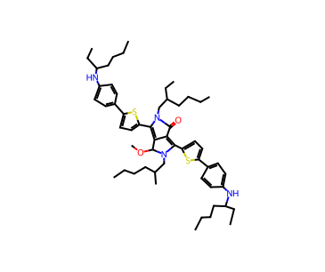 CCCCC(C)CN1C(c2ccc(-c3ccc(NC(CC)CCCC)cc3)s2)=C2C(=O)N(CC(CC)CCCC)C(c3ccc(-c4ccc(NC(CC)CCCC)cc4)s3)=C2C1OC